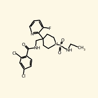 CCNS(=O)(=O)N1CCC(CNC(=O)c2ccc(Cl)cc2Cl)(c2ncccc2F)CC1